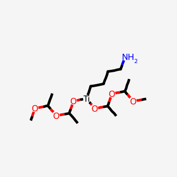 COC(C)OC(C)[O][Ti]([CH2]CCCN)[O]C(C)OC(C)OC